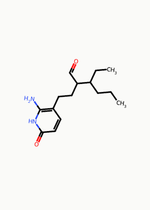 CCCC(CC)C(C=O)CCc1ccc(=O)[nH]c1N